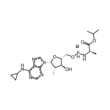 CC(C)OC(=O)[C@@H](C)N[PH](=O)OC[C@H]1O[C@@H](n2cnc3c(NC4CC4)ncnc32)[C@@H](C)[C@@H]1O